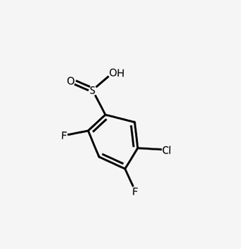 O=S(O)c1cc(Cl)c(F)cc1F